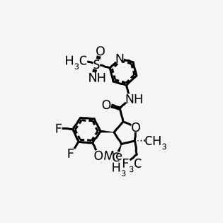 COc1c([C@H]2C(C(=O)Nc3ccnc(S(C)(=N)=O)c3)O[C@@](C)(CC(F)(F)F)[C@H]2C)ccc(F)c1F